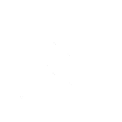 COc1ccc(C[C@@H](NC(=O)NC2CCCCCC2)c2nc3ccccc3[nH]2)cc1